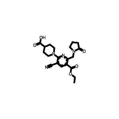 CCOC(=O)c1cc(C#N)c(N2CCC(C(=O)O)CC2)nc1CN1CCCC1=O